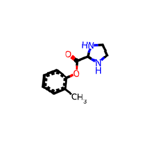 Cc1ccccc1OC(=O)C1NCCN1